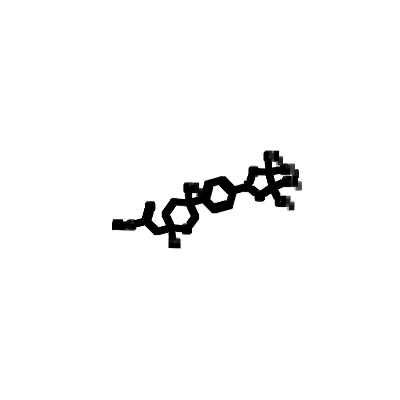 CCC1(CC(=O)OC)CCC(C)(c2ccc(B3OC(C)(C)C(C)(C)O3)cc2)CO1